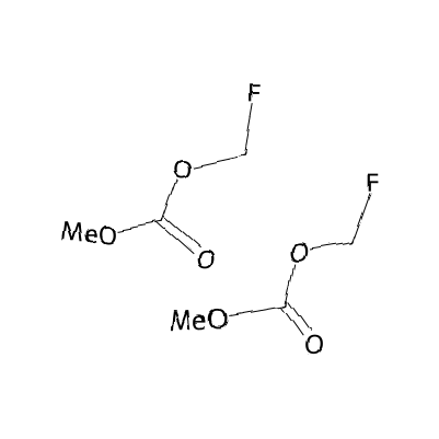 COC(=O)OCF.COC(=O)OCF